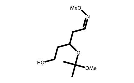 CO/N=C\CC(CCO)OC(C)(C)OC